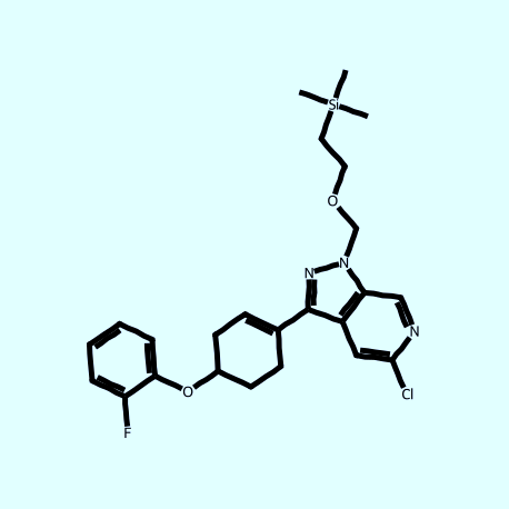 C[Si](C)(C)CCOCn1nc(C2=CCC(Oc3ccccc3F)CC2)c2cc(Cl)ncc21